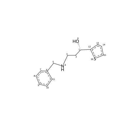 O[C@@H](CCNCc1ccccc1)c1cccs1